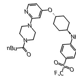 CCCCC(=O)N1CCN(c2cc(O[C@H]3CC[C@H](Nc4ccc(S(=O)(=O)C(F)(F)F)cc4)CC3)ccn2)CC1